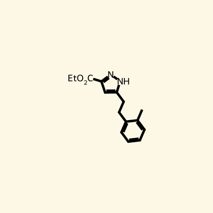 CCOC(=O)c1cc(CCc2ccccc2C)[nH]n1